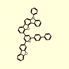 c1ccc(-c2ccc(-c3cc(-c4cccc5c4oc4c5ccc5c4c4ccccc4n5-c4ccccc4)cc(-c4ccc5c(c4)oc4ccccc45)n3)cc2)cc1